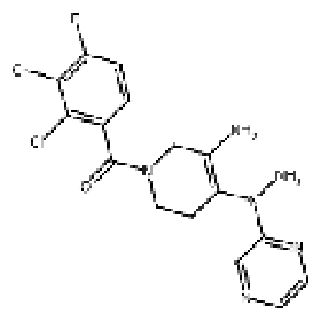 NC1=C(N(N)c2cnccn2)CCN(C(=O)c2ccc(F)c(Cl)c2Cl)C1